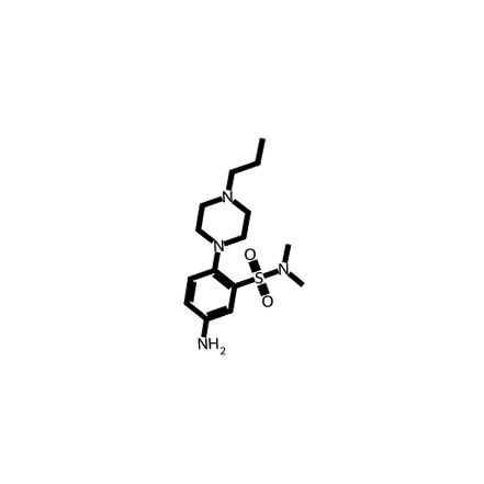 CCCN1CCN(c2ccc(N)cc2S(=O)(=O)N(C)C)CC1